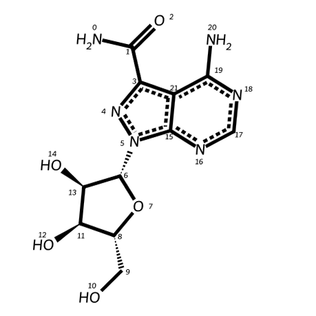 NC(=O)c1nn([C@@H]2O[C@H](CO)[C@@H](O)[C@H]2O)c2ncnc(N)c12